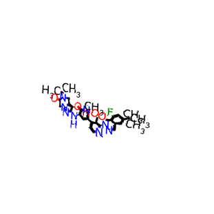 CC(C)N1Cc2cc(Nc3cc(-c4ccnc(-n5ncc6cc(C(C)(C)C)cc(F)c6c5=O)c4CO)cn(C)c3=O)nn2CC1=O